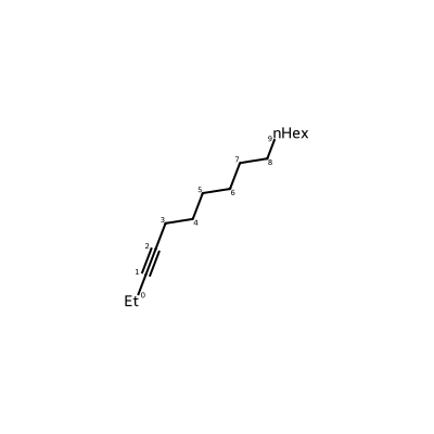 [CH2]CC#CCCCCCCCCCCCC